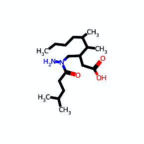 CCCCC(C)C(C)C(CC(=O)O)CN(N)C(=O)CCC(C)C